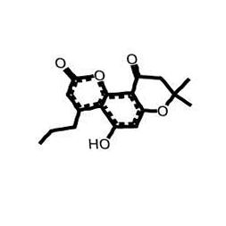 CCCc1cc(=O)oc2c3c(cc(O)c12)OC(C)(C)CC3=O